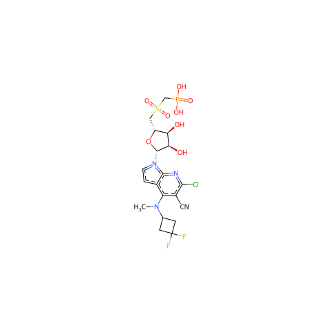 CN(c1c(C#N)c(Cl)nc2c1ccn2[C@@H]1O[C@H](CS(=O)(=O)CP(=O)(O)O)[C@@H](O)[C@H]1O)C1CC(F)(F)C1